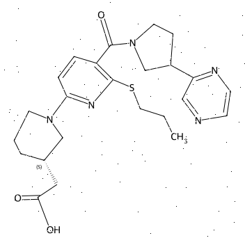 CCCSc1nc(N2CCC[C@@H](CC(=O)O)C2)ccc1C(=O)N1CCC(c2cnccn2)C1